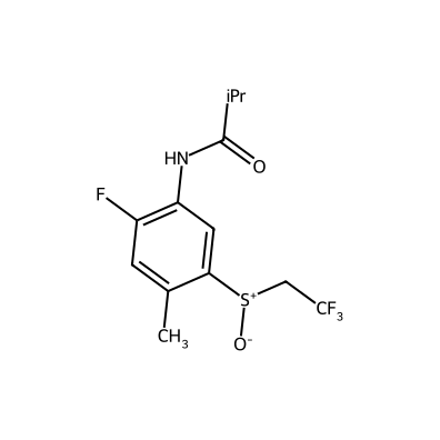 Cc1cc(F)c(NC(=O)C(C)C)cc1[S+]([O-])CC(F)(F)F